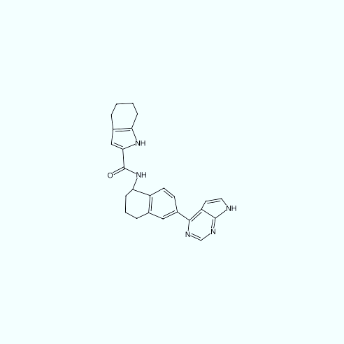 O=C(NC1CCCc2cc(-c3ncnc4[nH]ccc34)ccc21)c1cc2c([nH]1)CCCC2